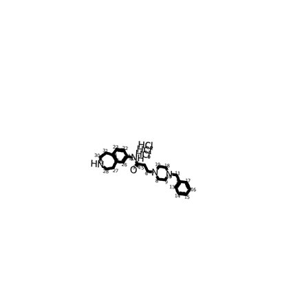 Cl.Cl.Cl.O=C(CCN1CCN(Cc2ccccc2)CC1)Nc1ccc2c(c1)CCNCC2